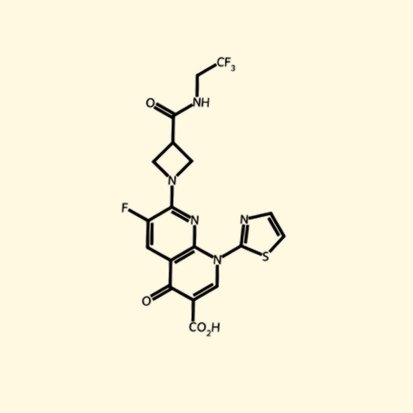 O=C(O)c1cn(-c2nccs2)c2nc(N3CC(C(=O)NCC(F)(F)F)C3)c(F)cc2c1=O